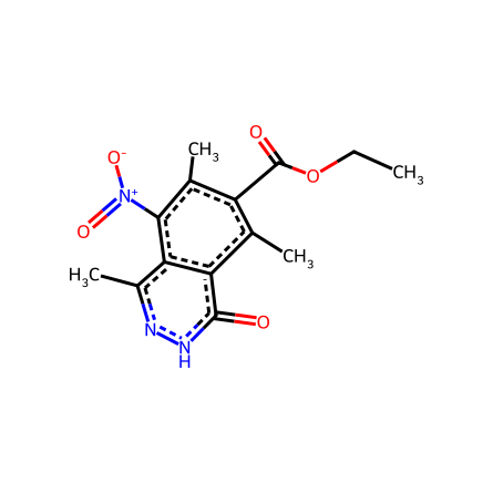 CCOC(=O)c1c(C)c([N+](=O)[O-])c2c(C)n[nH]c(=O)c2c1C